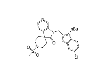 CCCCn1c(CN2C(=O)C3(CCN(S(C)(=O)=O)CC3)c3ccncc32)cc2cc(Cl)ccc21